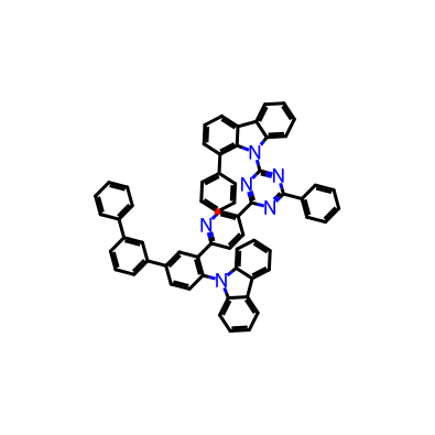 c1ccc(-c2cccc(-c3ccc(-n4c5ccccc5c5ccccc54)c(-c4ccc(-c5nc(-c6ccccc6)nc(-n6c7ccccc7c7cccc(-c8ccccc8)c76)n5)cn4)c3)c2)cc1